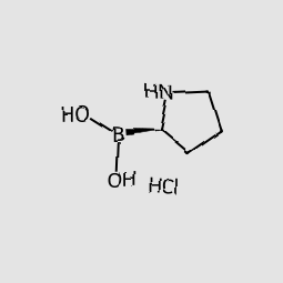 Cl.OB(O)[C@@H]1CCCN1